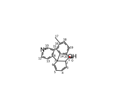 C=CC1C=CC=CC1(c1ccncc1)c1cc(C)ccc1O